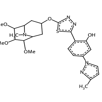 COC1C(OC)C2CC(Oc3nnc(-c4ccc(-n5ccc(C)n5)cc4O)s3)CC(C1OC)N2C